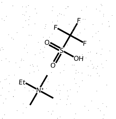 CC[N+](C)(C)C.O=S(=O)(O)C(F)(F)F